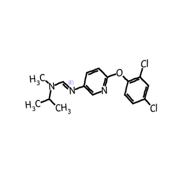 CC(C)N(C)/C=N/c1ccc(Oc2ccc(Cl)cc2Cl)nc1